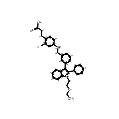 CCOCCn1c(-c2ccccc2)c(-c2cccc(CNc3ccc(CCC(=O)O)c(F)c3)c2)c2ccccc21